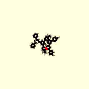 Cc1ccc(-c2ccc3c(c2)c2cc(-c4ccc(C)cc4)ccc2n3-c2c(-c3ccc(C(F)(F)F)cc3)cc(-c3cc(-c4ccccc4)nc(-c4ccccc4)n3)cc2-c2ccc(C(F)(F)F)cc2)cc1